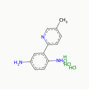 Cc1ccc(-c2cc(N)ccc2N)nc1.Cl.Cl.Cl